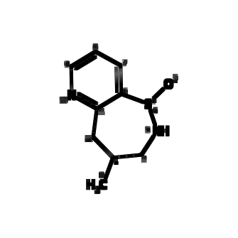 CC1CN[S+]([O-])c2cccnc2C1